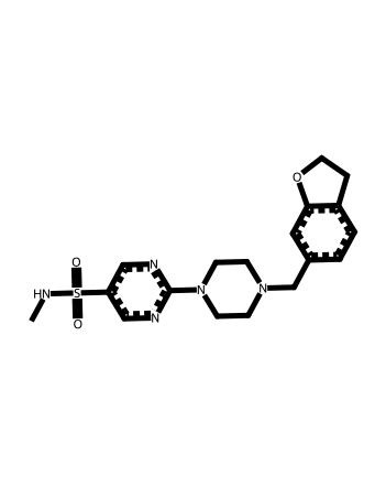 CNS(=O)(=O)c1cnc(N2CCN(Cc3ccc4c(c3)OCC4)CC2)nc1